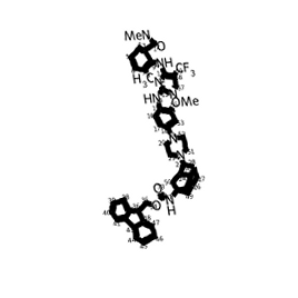 CNC(=O)c1cccc(C)c1Nc1nc(Nc2ccc(N3CCN(C4C5CC6CC4CC(NC(=O)OCC4c7ccccc7-c7ccccc74)(C6)C5)CC3)cc2OC)ncc1C(F)(F)F